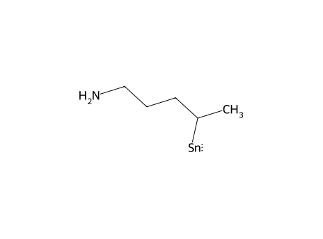 C[CH]([Sn])CCCN